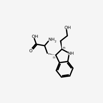 NC(C[C@H]1c2ccccc2N[C@@H]1CCO)C(=O)O